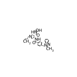 C=CCCN1C[C@H](C(=O)NO)[C@H](NC(=O)c2ccc(Cn3c(C)nc4ccccc43)cc2)C1